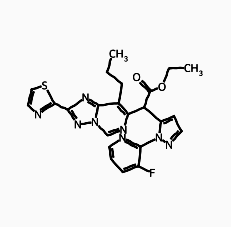 CCCc1c(C(C(=O)OCC)c2ccnn2-c2ncccc2F)ncn2nc(-c3nccs3)nc12